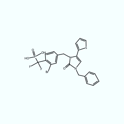 O=c1n(Cc2ccccc2)cc(-c2cccs2)n1Cc1ccc(C(F)(F)P(=O)(O)O)c(Br)c1